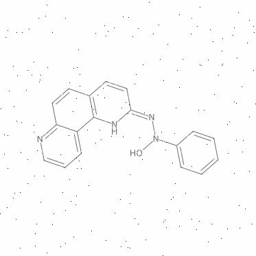 ON(N=c1ccc2ccc3ncccc3c2[nH]1)c1ccccc1